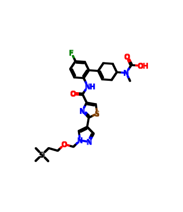 CN(C(=O)O)C1CC=C(c2cc(F)ccc2NC(=O)c2csc(-c3cnn(COCC[Si](C)(C)C)c3)n2)CC1